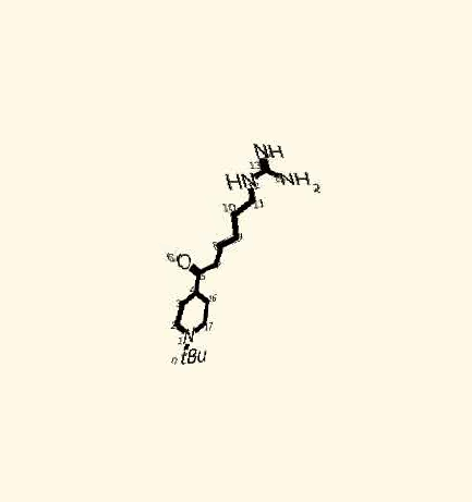 CC(C)(C)N1CCC(C(=O)CCCCCNC(=N)N)CC1